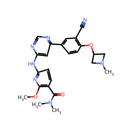 COc1nc(Nc2cc(-c3ccc(OC4CN(C)C4)c(C#N)c3)ncn2)ccc1C(=O)N(C)C